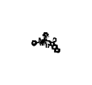 O=C1C(=Cc2nc3oc(-c4ccccc4)nc3n2-c2cccs2)C(=O)c2cc3ccccc3cc21